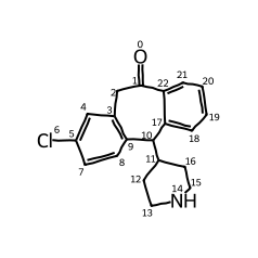 O=C1Cc2cc(Cl)ccc2C(C2CCNCC2)c2ccccc21